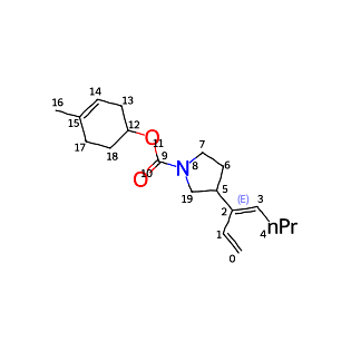 C=C/C(=C\CCC)C1CCN(C(=O)OC2CC=C(C)CC2)C1